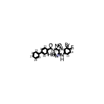 O=C(Nc1nonc1/C(=N\O)Nc1ccc(F)c(Br)c1)c1ccc(-c2ccccc2)cc1